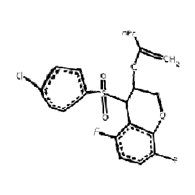 C=C(CCC)CC1COc2c(F)ccc(F)c2C1S(=O)(=O)c1ccc(Cl)cc1